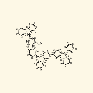 N#Cc1nc(-n2c3ccccc3c3ccccc32)nc2oc3ccc(-n4c5ccccc5c5cc(-c6ccc7c(c6)c6ccccc6n7-c6ccccc6)ccc54)cc3c12